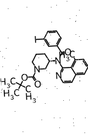 Cc1cccc2ccnc(N(C(=O)c3cccc(I)c3)[C@@H]3CCCN(C(=O)OC(C)(C)C)C3)c12